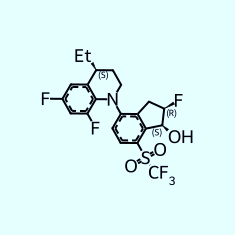 CC[C@H]1CCN(c2ccc(S(=O)(=O)C(F)(F)F)c3c2C[C@@H](F)[C@H]3O)c2c(F)cc(F)cc21